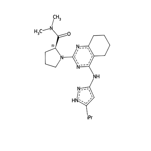 CC(C)c1cc(Nc2nc(N3CCC[C@H]3C(=O)N(C)C)nc3c2CCCC3)n[nH]1